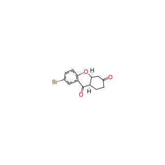 O=C1CC[C@H]2C(=O)c3cc(Br)ccc3O[C@H]2C1